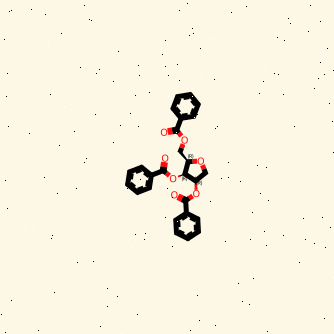 O=C(OC[C@H]1OC[C@@H](OC(=O)c2ccccc2)[C@@H]1OC(=O)c1ccccc1)c1ccccc1